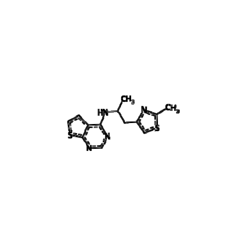 Cc1nc(CC(C)Nc2ncnc3sccc23)cs1